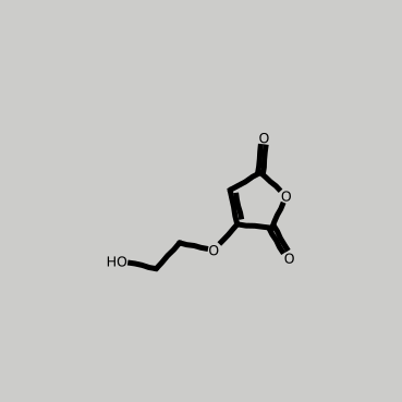 O=C1C=C(OCCO)C(=O)O1